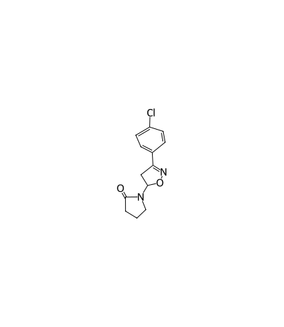 O=C1CCCN1C1CC(c2ccc(Cl)cc2)=NO1